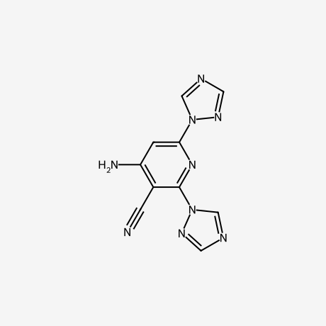 N#Cc1c(N)cc(-n2cncn2)nc1-n1cncn1